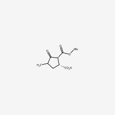 CC1C[C@@H](C(=O)O)N(C(=O)OC(C)(C)C)C1=O